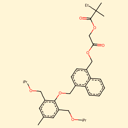 CCC(C)(C)C(=O)OCC(=O)OCc1ccc(COc2c(COC(C)C)cc(C)cc2COC(C)C)c2ccccc12